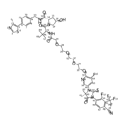 Cc1ncsc1-c1ccc(CNC(=O)[C@@H]2C[C@@H](O)CN2C(=O)[C@@H](NC(=O)COCCOCCOCCOc2ncc(N3C(=S)N(c4ccc(C#N)c(C(F)(F)F)c4F)C(=O)C3(C)C)cc2F)C(C)(C)C)cc1